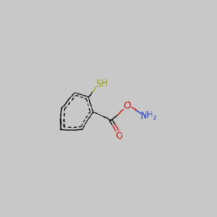 NOC(=O)c1ccccc1S